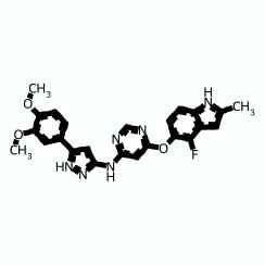 COc1ccc(-c2cc(Nc3cc(Oc4ccc5[nH]c(C)cc5c4F)ncn3)n[nH]2)cc1OC